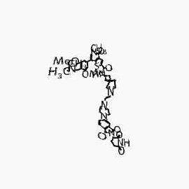 COc1cc(-c2cn(C)c(=O)c3cc(C(=O)NC4CC5(CCN(CCN6CCN(c7ccc8c(c7)C(=O)N([C@@H]7CCC(=O)NC7=O)C8=O)CC6)C5)C4)sc23)cc(OC)c1CN(C)C